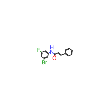 O=C(C=Cc1ccccc1)Nc1cc(F)cc(Br)c1